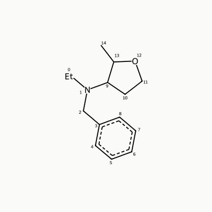 CCN(Cc1ccccc1)C1CCOC1C